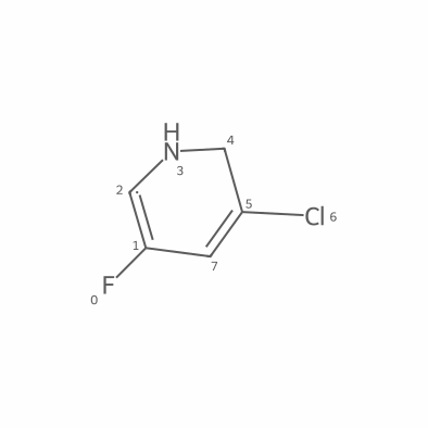 FC1=[C]NCC(Cl)=C1